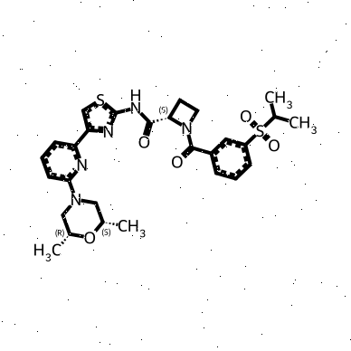 CC(C)S(=O)(=O)c1cccc(C(=O)N2CC[C@H]2C(=O)Nc2nc(-c3cccc(N4C[C@@H](C)O[C@@H](C)C4)n3)cs2)c1